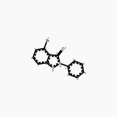 O=c1c2c(Br)cccc2sn1-c1ccccc1